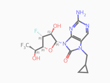 Nc1ncc2c(n1)n([C@@H]1O[C@H]([C@@H](O)C(F)(F)F)[C@H](F)[C@H]1O)c(=O)n2CC1CC1